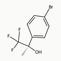 C[C@@](O)(c1ccc(Br)cc1)C(F)(F)F